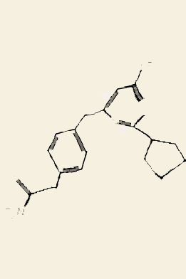 C=C(/C=C(Cc1ccc(CC(N)=O)cc1)\N=C(/C)C1CCCC1)C(F)(F)F